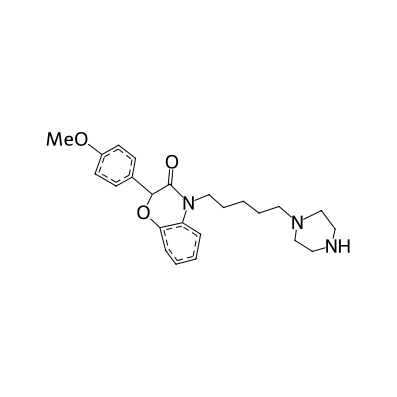 COc1ccc(C2Oc3ccccc3N(CCCCCN3CCNCC3)C2=O)cc1